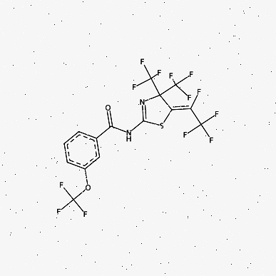 O=C(NC1=NC(C(F)(F)F)(C(F)(F)F)C(=C(F)C(F)(F)F)S1)c1cccc(OC(F)(F)F)c1